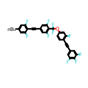 CCCCc1cc(F)c(C#Cc2cc(F)c(C(F)(F)Oc3ccc(C#Cc4cc(F)c(F)c(F)c4)c(F)c3)c(F)c2)c(F)c1